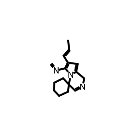 C=Nc1c(C=CC)cc2n1C1(C=NC2)CCCCC1